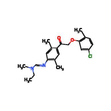 CCN(C)C=Nc1cc(C)c(C(=O)COc2cc(Cl)ccc2C)cc1C